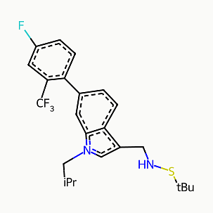 CC(C)Cn1cc(CNSC(C)(C)C)c2ccc(-c3ccc(F)cc3C(F)(F)F)cc21